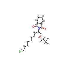 CC(C)(C)[Si](C)(C)OCC(C=CCCCCCCBr)N1C(=O)c2ccccc2C1=O